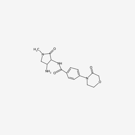 CN1CC(N)C(NC(=O)c2ccc(N3CCOCC3=O)cc2)C1=O